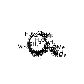 COC1C(=O)C(C)CC[C@H](C)/C=C/C=C/C=C(\C)[C@@H](OC)C[C@@H]2CC[C@@H](C)[C@@](O)(O2)C(=O)C(=O)N2CCCC[C@H]2C(=O)O[C@H]([C@H](C)C[C@@H]2CC[C@@H](OC(=O)N(C)OC)[C@H](OC)C2)CC(=O)[C@H](C)/C=C(\C)[C@H]1O